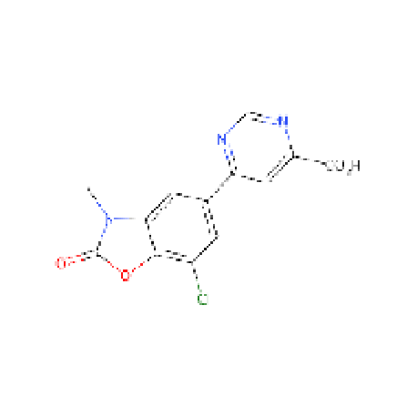 Cn1c(=O)oc2c(Cl)cc(-c3cc(C(=O)O)ncn3)cc21